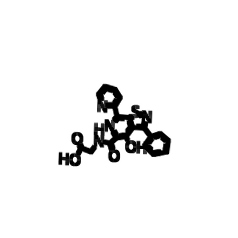 O=C(O)CNC(=O)c1nc(-c2ccccn2)c2snc(-c3ccccc3)c2c1O